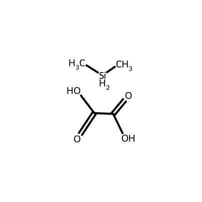 C[SiH2]C.O=C(O)C(=O)O